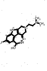 CN(C)CCN1CC2=NNC(O)c3cc(F)cc4[nH]c(c2c34)C1